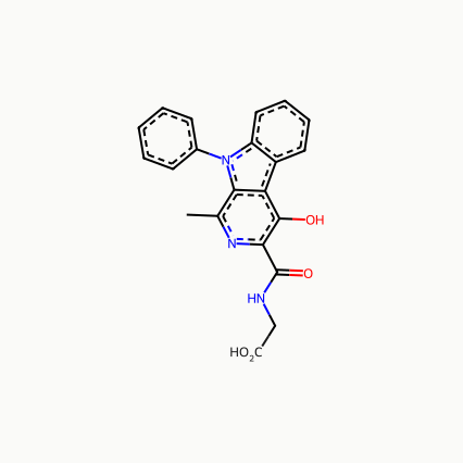 Cc1nc(C(=O)NCC(=O)O)c(O)c2c3ccccc3n(-c3ccccc3)c12